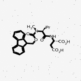 CC(C)[C@@H](C(=O)N[C@@H](CC(=O)O)C(=O)O)N(C)C(=O)OCC1c2ccccc2-c2ccccc21